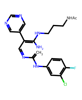 C=C(/N=C\C(=C(/N)NCCCNC(C)=O)c1cncnc1)Nc1ccc(F)c(Cl)c1